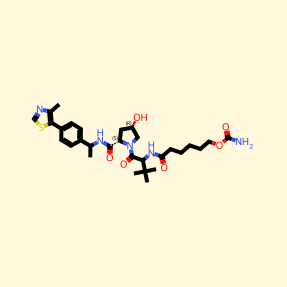 Cc1ncsc1-c1ccc(C(C)NC(=O)[C@@H]2C[C@@H](O)CN2C(=O)C(NC(=O)CCCCCOC(N)=O)C(C)(C)C)cc1